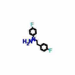 NN(CCc1ccc(F)cc1)c1ccc(F)cc1